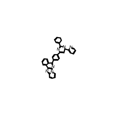 C1=CCCC(c2nc(-c3ccc(-c4nc5c(nc6ccccn65)c5ccccc45)cc3)cc(-c3ccccn3)n2)=C1